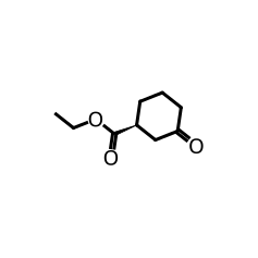 CCOC(=O)[C@H]1CCCC(=O)C1